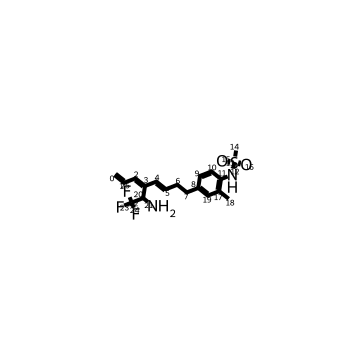 C=C/C=C(/C=C/CCc1ccc(NS(C)(=O)=O)c(C)c1)C(N)C(F)(F)F